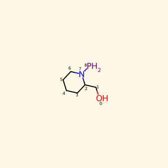 OCC1CCCCN1P